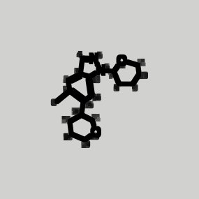 Cc1cc2cnn(C3CCCCO3)c2cc1C1CCCOC1